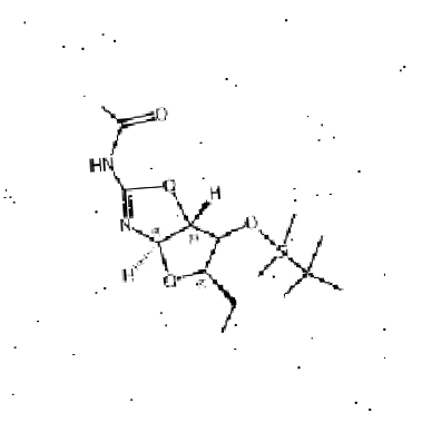 CC[C@H]1O[C@H]2N=C(NC(C)=O)O[C@@H]2C1O[Si](C)(C)C(C)(C)C